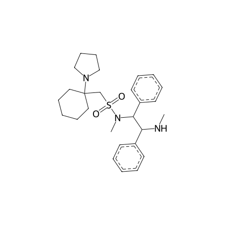 CNC(c1ccccc1)C(c1ccccc1)N(C)S(=O)(=O)CC1(N2CCCC2)CCCCC1